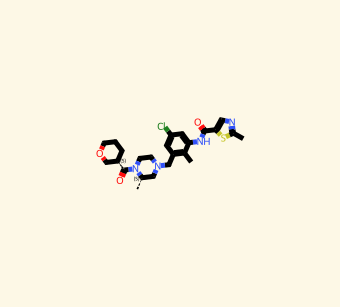 Cc1ncc(C(=O)Nc2cc(Cl)cc(CN3CCN(C(=O)[C@H]4CCCOC4)[C@@H](C)C3)c2C)s1